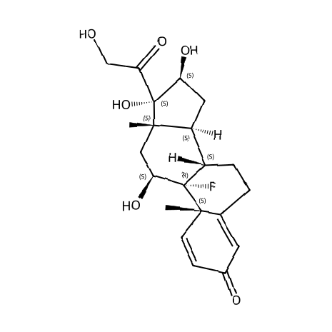 C[C@]12C=CC(=O)C=C1CC[C@H]1[C@@H]3C[C@H](O)[C@](O)(C(=O)CO)[C@@]3(C)C[C@H](O)[C@@]12F